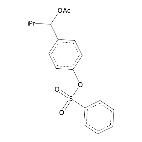 CC(=O)OC(c1ccc(OS(=O)(=O)c2ccccc2)cc1)C(C)C